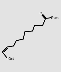 CCCCCCCC/C=C\CCCCCCCC(=O)C(C)CCC